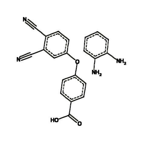 N#Cc1ccc(Oc2ccc(C(=O)O)cc2)cc1C#N.Nc1ccccc1N